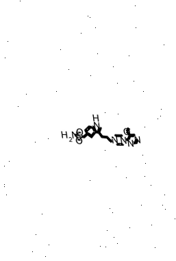 COc1cncnc1N1CCN(CCCc2c[nH]c3ccc(CS(N)(=O)=O)cc23)CC1